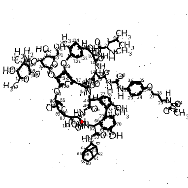 CN[C@H](CC(C)C)C(=O)N[C@H]1C(=O)N[C@@H](CC(=O)NC(=O)Nc2ccc(OCCCNS(C)(=O)=O)cc2)C(=O)N[C@H]2C(=O)N[C@H]3C(=O)N[C@H](C(=O)N[C@H](C(=O)NC4C5CC6CC(C5)CC4C6)c4cc(O)cc(C)c4-c4cc3ccc4O)[C@H](O)c3ccc(c(Cl)c3)Oc3cc2cc(c3O[C@@H]2O[C@H](CO)[C@@H](O)[C@H](O)[C@H]2O[C@H]2C[C@](C)(N)[C@H](O)[C@H](C)O2)Oc2ccc(cc2C)[C@H]1O